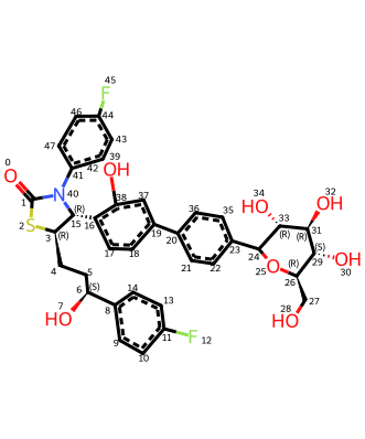 O=C1S[C@H](CC[C@H](O)c2ccc(F)cc2)[C@@H](c2ccc(-c3ccc(C4O[C@H](CO)[C@@H](O)[C@H](O)[C@H]4O)cc3)cc2O)N1c1ccc(F)cc1